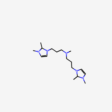 CC1N(C)C=CN1CCCN(C)CCCN1C=CN(C)C1C